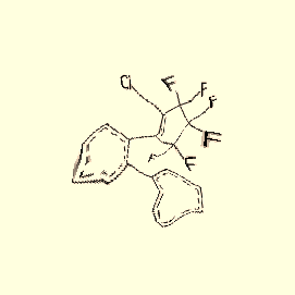 FC1(F)C(Cl)=C(c2ccccc2-c2ccccc2)C(F)(F)C1(F)F